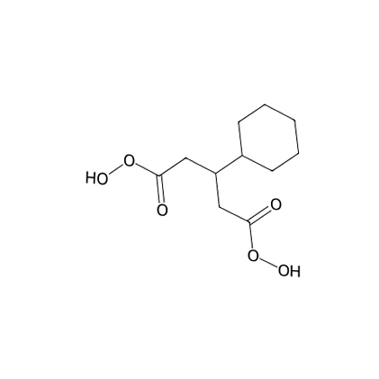 O=C(CC(CC(=O)OO)C1CCCCC1)OO